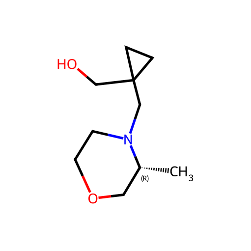 C[C@@H]1COCCN1CC1(CO)CC1